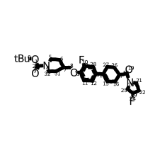 CC(C)(C)OC(=O)N1CCC(COc2ccc(C3=CCC(C(=O)N4CC[C@@H](F)C4)CC3)cc2F)CC1